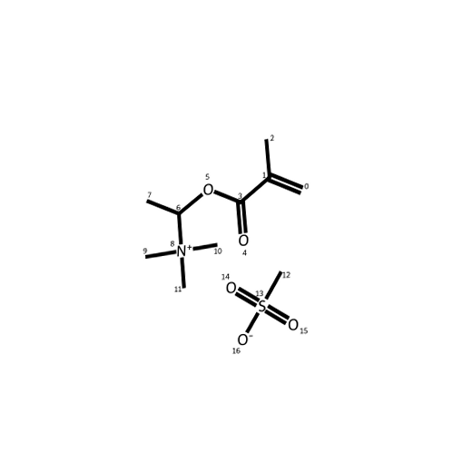 C=C(C)C(=O)OC(C)[N+](C)(C)C.CS(=O)(=O)[O-]